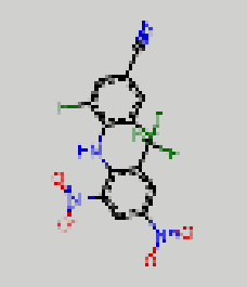 N#Cc1cc(F)c(Nc2c([N+](=O)[O-])cc([N+](=O)[O-])cc2C(F)(F)F)c(F)c1